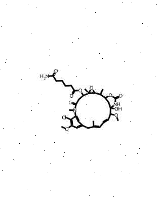 COc1cc2cc(c1Cl)N(C)C(=O)CC(OC(=O)CCCCC(N)=O)C1(C)OC1C(C)C1CC(O)(NC(=O)O1)C(OC)/C=C/C=C(\C)C2